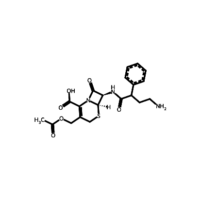 CC(=O)OCC1=C(C(=O)O)N2C(=O)[C@@H](NC(=O)C(CCN)c3ccccc3)[C@H]2SC1